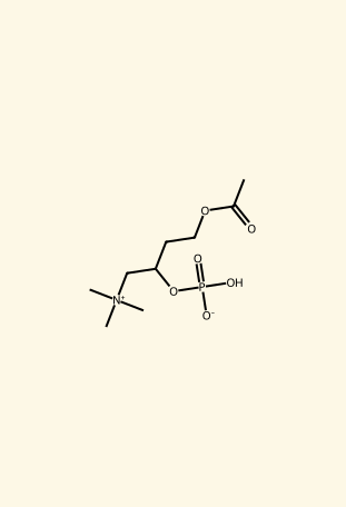 CC(=O)OCCC(C[N+](C)(C)C)OP(=O)([O-])O